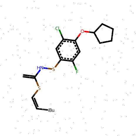 C=C(NSc1cc(Cl)c(OC2CCCC2)cc1F)S/C=C\C(C)CC